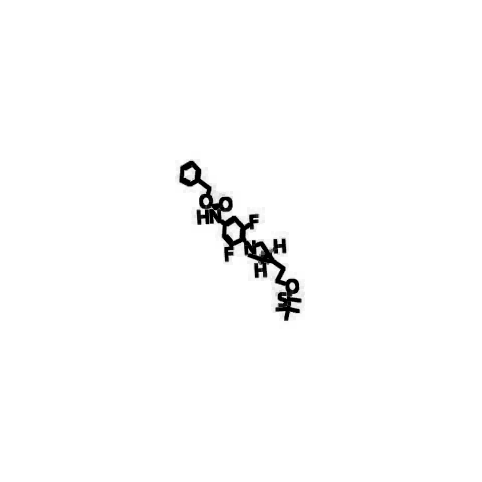 CC(C)(C)[Si](C)(C)OCCC1[C@H]2CN(c3c(F)cc(NC(=O)OCc4ccccc4)cc3F)C[C@@H]12